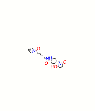 C[C@H]1CCN(C(=O)CCCCCNC(=O)C2CCC(CN3C(=O)C=CC3O)CC2)C1